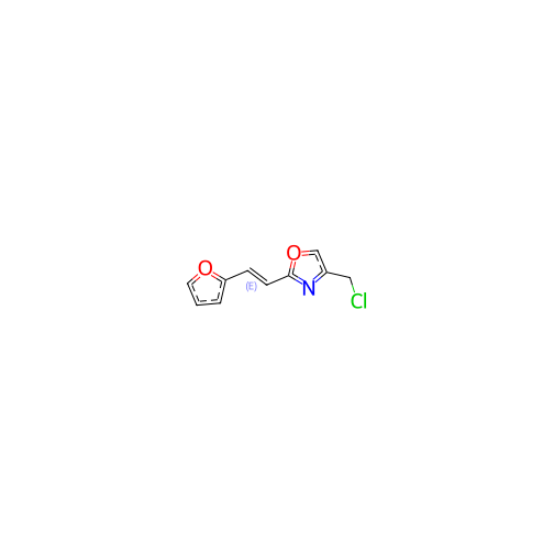 ClCc1coc(/C=C/c2ccco2)n1